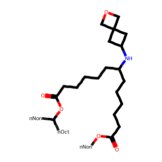 CCCCCCCCCOC(=O)CCCCCC(CCCCCC(=O)OC(CCCCCCCC)CCCCCCCCC)NC1CC2(COC2)C1